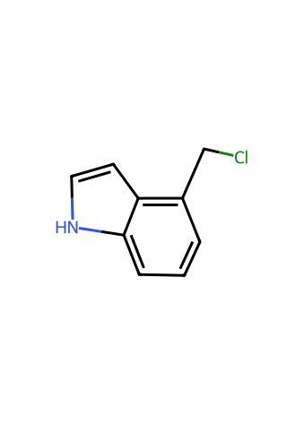 ClCc1cccc2[nH]ccc12